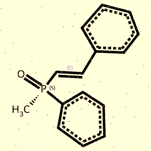 C[P@](=O)(/C=C/c1ccccc1)c1ccccc1